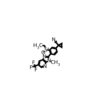 CC[S@+]([O-])c1cc(C2(C#N)CC2)ccc1-c1nc2cc(C(F)(F)F)cnc2n1C